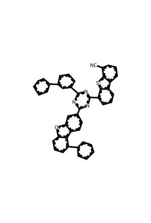 N#Cc1cccc2c1sc1c(-c3nc(-c4cccc(-c5ccccc5)c4)nc(-c4ccc5c(c4)oc4cccc(-c6ccccc6)c45)n3)cccc12